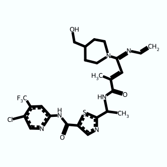 C=C/N=C(\C=C(/C)C(=O)NC(C)c1ncc(C(=O)Nc2cc(C(F)(F)F)c(Cl)cn2)s1)N1CCC(CO)CC1